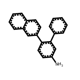 Nc1ccc(-c2ccc3ccccc3c2)c(-c2ccccc2)c1